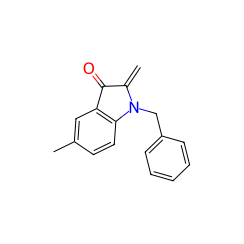 C=C1C(=O)c2cc(C)ccc2N1Cc1ccccc1